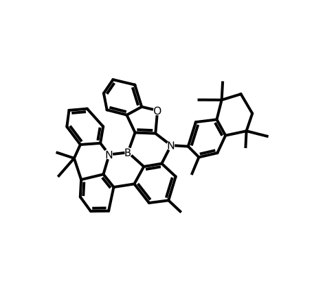 Cc1cc2c3c(c1)N(c1cc4c(cc1C)C(C)(C)CCC4(C)C)c1oc4ccccc4c1B3N1c3ccccc3C(C)(C)c3cccc-2c31